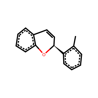 Cc1ccccc1[C@@H]1C=Cc2ccccc2O1